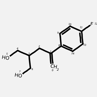 C=C(CC(CO)CO)c1ccc(F)cc1